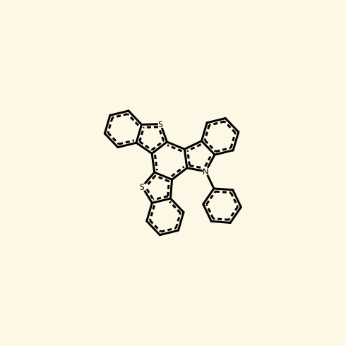 c1ccc(-n2c3ccccc3c3c4sc5ccccc5c4c4sc5ccccc5c4c32)cc1